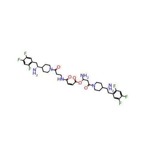 NC(CC(=O)N1CCC([C@H](N)Cc2cc(F)c(F)cc2F)CC1)OC(=O)/C=C\C(=O)NCCC(=O)N1CCC([C@H](N)Cc2cc(F)c(F)cc2F)CC1